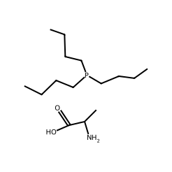 CC(N)C(=O)O.CCCCP(CCCC)CCCC